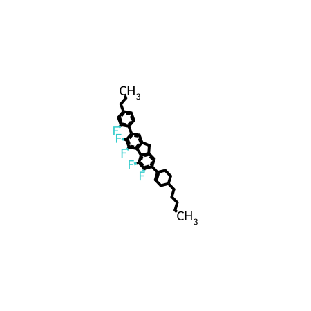 CCCCCC1CC=C(c2cc3c(c(F)c2F)-c2c(cc(-c4ccc(CCC)cc4F)c(F)c2F)C3)CC1